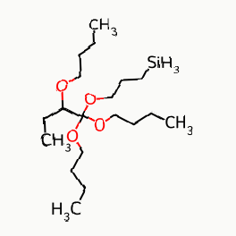 CCCCOC(CC)C(OCCCC)(OCCCC)OCCC[SiH3]